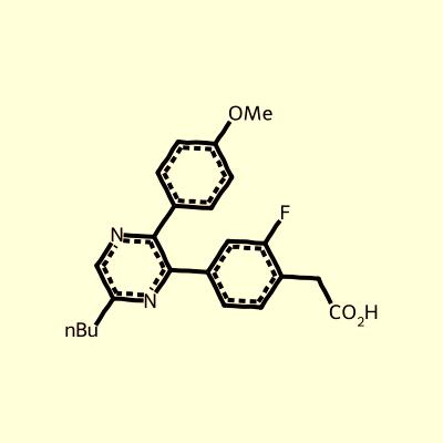 CCCCc1cnc(-c2ccc(OC)cc2)c(-c2ccc(CC(=O)O)c(F)c2)n1